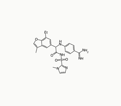 CCc1cc(C(Nc2ccc(C(=N)N)cc2)C(=O)NS(=O)(=O)c2nccn2C)cc2c(C)coc12